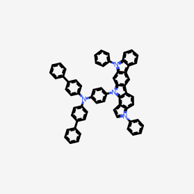 c1ccc(-c2ccc(N(c3ccc(-c4ccccc4)cc3)c3ccc(-n4c5cc6c(cc5c5ccc7c(ccn7-c7ccccc7)c54)c4ccccc4n6-c4ccccc4)cc3)cc2)cc1